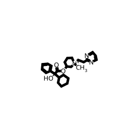 C[N+]1(CCc2ncccn2)CCCC(OC(=O)[C@](O)(c2ccccc2)C2CCCCC2)C1